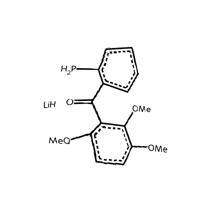 COc1ccc(OC)c(C(=O)c2ccccc2P)c1OC.[LiH]